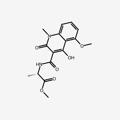 COC(=O)[C@H](C)NC(=O)c1c(O)c2c(OC)cccc2n(C)c1=O